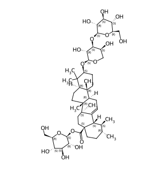 C[C@H]1[C@H](C)CC[C@]2(C(=O)O[C@@H]3O[C@H](CO)[C@@H](O)[C@H](O)[C@H]3O)CC[C@]3(C)C(=CC[C@@H]4[C@@]5(C)CC[C@H](O[C@@H]6OC[C@H](O)[C@H](O[C@@H]7O[C@H](CO)[C@@H](O)[C@H](O)[C@H]7O)[C@H]6O)C(C)(C)[C@@H]5CC[C@]43C)[C@H]12